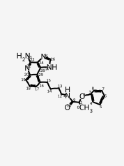 CC(Oc1ccccc1)C(=O)NCCCCc1cccc2nc(N)c3nc[nH]c3c12